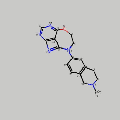 CCCN1CCc2cc(N3CCOc4ncnc5c4C3=N5)ccc2C1